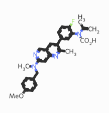 C=C(C)N(C(=O)O)c1cc(-c2cc3cnc(N(C)Cc4ccc(OC)cc4)cc3nc2C)ccc1F